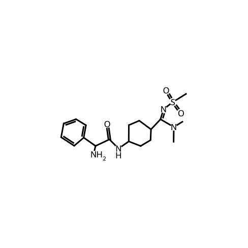 CN(C)C(=NS(C)(=O)=O)C1CCC(NC(=O)C(N)c2ccccc2)CC1